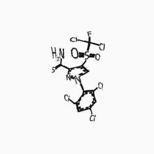 NC(=S)c1nn(-c2c(Cl)cc(Cl)cc2Cl)cc1S(=O)(=O)C(F)(Cl)Cl